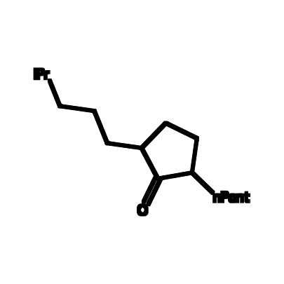 CCCCCC1CCC(CCCC(C)C)C1=O